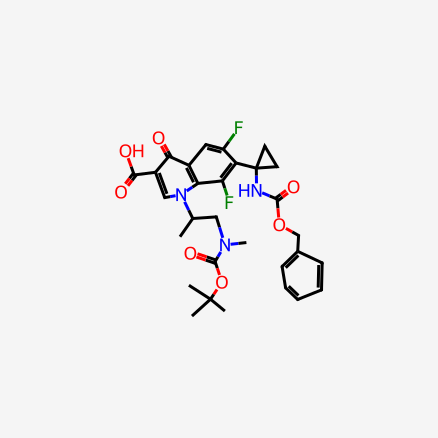 CC(CN(C)C(=O)OC(C)(C)C)n1cc(C(=O)O)c(=O)c2cc(F)c(C3(NC(=O)OCc4ccccc4)CC3)c(F)c21